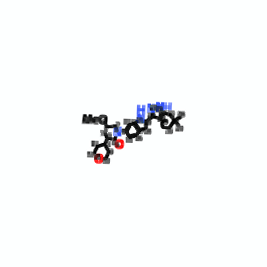 COCCN(C(=O)C(C)C1CCOCC1)c1ccc2cc(-c3n[nH]c4c3CCC(C)(C)C4)[nH]c2c1